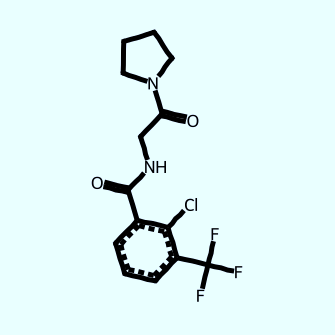 O=C(NCC(=O)N1CCCC1)c1cccc(C(F)(F)F)c1Cl